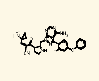 CCNC1(/C=C(/C#N)C(=O)C2CCNC2Cn2nc(-c3ccc(Oc4ccccc4)cc3F)c3c(N)ncnc32)CC1